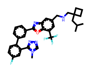 CC(C)CC1(CNCc2cc(C(F)(F)F)c3oc(-c4cccc(-c5ccc(F)cc5-c5nncn5C)c4)nc3c2)CCC1